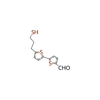 O=Cc1ccc(-c2ccc(CCCS)s2)s1